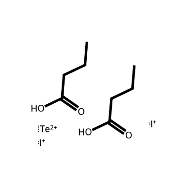 CCCC(=O)O.CCCC(=O)O.[I+].[I+].[Te+2]